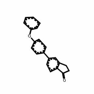 O=C1CCc2cc(-c3ccc(Oc4ccccc4)cc3)ccc21